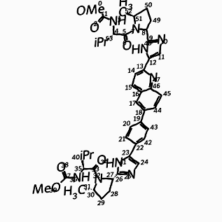 COC(=O)N[C@H](C(=O)N1C(c2ncc(-c3ccc4cc(-c5ccc(-c6cnc([C@@H]7CC[C@H](C)N7C(=O)[C@@H](NC(=O)OC)C(C)C)[nH]6)cc5)ccc4n3)[nH]2)CC[C@@H]1C)C(C)C